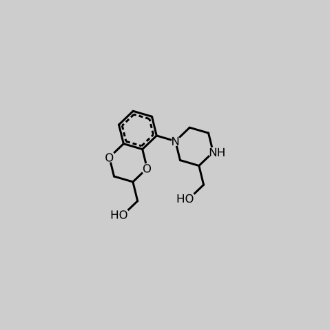 OCC1CN(c2cccc3c2OC(CO)CO3)CCN1